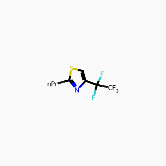 CCCc1nc(C(F)(F)C(F)(F)F)cs1